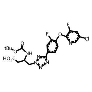 CC(C)(C)OC(=O)NC(CC(=O)O)Cn1nnc(-c2ccc(Oc3ncc(Cl)cc3F)c(F)c2)n1